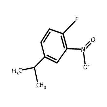 CC(C)c1ccc(F)c([N+](=O)[O-])c1